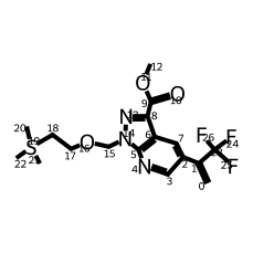 C=C(c1cnc2c(c1)c(C(=O)OC)nn2COCCS(C)(C)C)C(F)(F)F